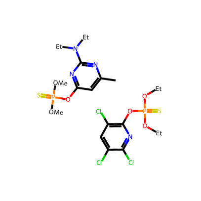 CCN(CC)c1nc(C)cc(OP(=S)(OC)OC)n1.CCOP(=S)(OCC)Oc1nc(Cl)c(Cl)cc1Cl